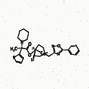 CC(C(=O)O[C@H]1C[N+]2(Cc3noc(-c4ccccc4)n3)CCC1CC2)(c1cccs1)N1CCCCC1